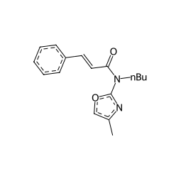 CCCCN(C(=O)/C=C/c1ccccc1)c1nc(C)co1